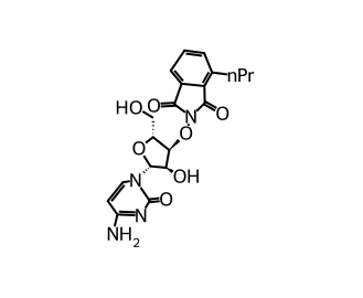 CCCc1cccc2c1C(=O)N(O[C@H]1[C@@H](O)[C@H](n3ccc(N)nc3=O)O[C@@H]1CO)C2=O